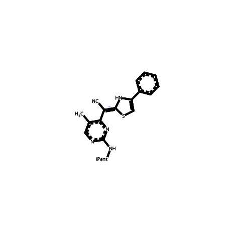 CCCC(C)Nc1ncc(C)c(/C(C#N)=C2/NC(c3ccccc3)=CS2)n1